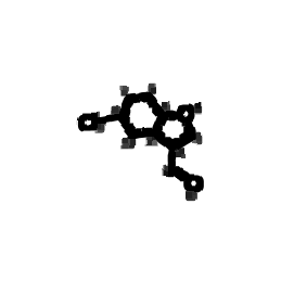 O=[C]c1coc2ccc(Cl)cc12